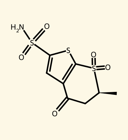 C[C@H]1CC(=O)c2cc(S(N)(=O)=O)sc2S1(=O)=O